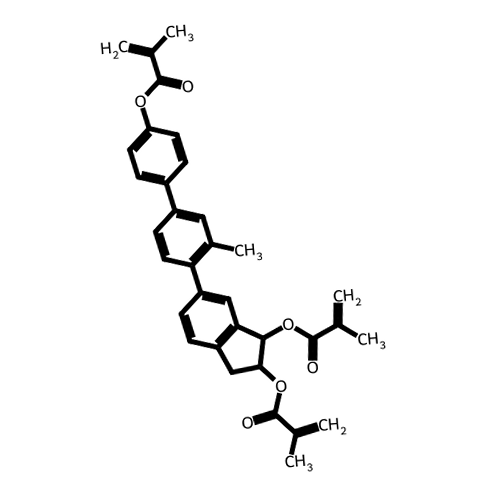 C=C(C)C(=O)Oc1ccc(-c2ccc(-c3ccc4c(c3)C(OC(=O)C(=C)C)C(OC(=O)C(=C)C)C4)c(C)c2)cc1